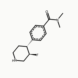 CN(C)C(=O)c1ccc([C@H]2CCNC[C@@H]2F)cc1